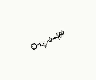 CCC(C)(C#C[Si](C)(C)CC[Si](C)(C)/C=C/c1ccccc1)O[Si](C)(C)C